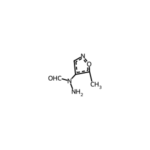 Cc1oncc1N(N)C=O